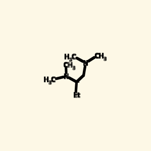 CC[C](CN(C)C)N(C)C